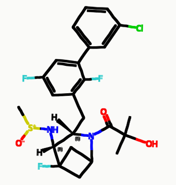 C[S+]([O-])N[C@@H]1[C@H](Cc2cc(F)cc(-c3cccc(Cl)c3)c2F)N(C(=O)C(C)(C)O)C2CC1(F)C2